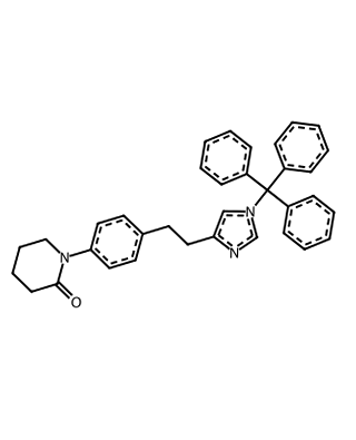 O=C1CCCCN1c1ccc(CCc2cn(C(c3ccccc3)(c3ccccc3)c3ccccc3)cn2)cc1